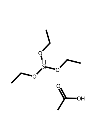 CC(=O)O.CCO[SiH](OCC)OCC